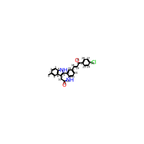 Cc1ccc2[nH]c3c(c2c1)CC(=O)Nc1ccc(C=CC(=O)c2ccc(Cl)cc2)cc1-3